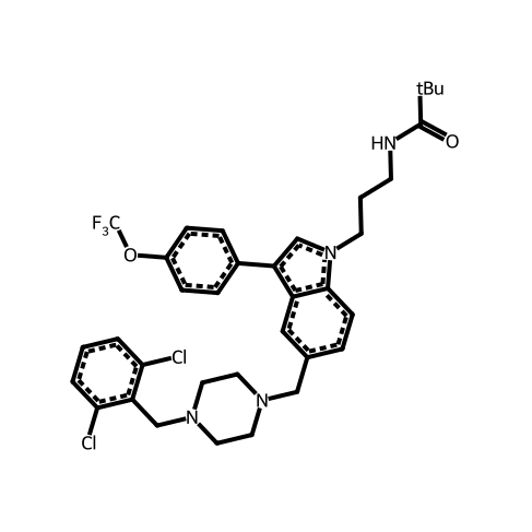 CC(C)(C)C(=O)NCCCn1cc(-c2ccc(OC(F)(F)F)cc2)c2cc(CN3CCN(Cc4c(Cl)cccc4Cl)CC3)ccc21